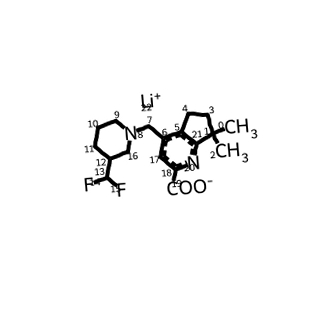 CC1(C)CCc2c(CN3CCCC(C(F)F)C3)cc(C(=O)[O-])nc21.[Li+]